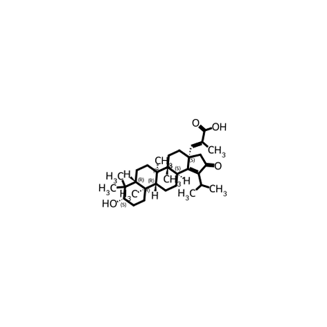 CC(=C[C@@]12CC[C@]3(C)[C@H](CC[C@@H]4[C@@]5(C)CC[C@H](O)C(C)(C)[C@@H]5CC[C@]43C)C1=C(C(C)C)C(=O)C2)C(=O)O